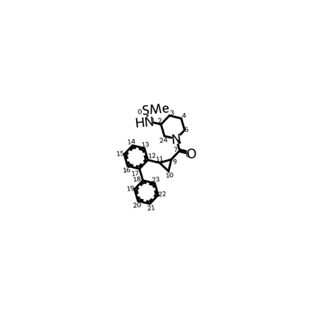 CSNC1CCCN(C(=O)C2CC2c2ccccc2-c2ccccc2)C1